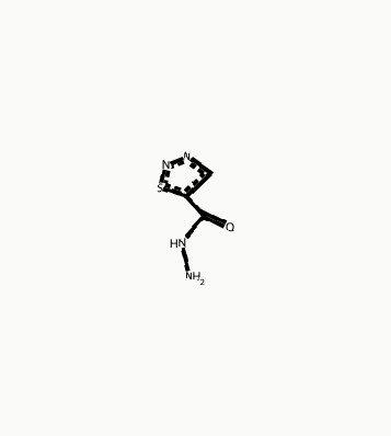 NNC(=O)c1cnns1